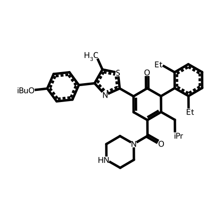 CCc1cccc(CC)c1C1C(=O)C(c2nc(-c3ccc(OCC(C)C)cc3)c(C)s2)=CC(C(=O)N2CCNCC2)=C1CC(C)C